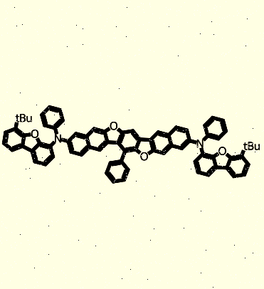 CC(C)(C)c1cccc2c1oc1c(N(c3ccccc3)c3ccc4cc5c(cc4c3)oc3c(-c4ccccc4)c4c(cc35)oc3cc5cc(N(c6ccccc6)c6cccc7c6oc6c(C(C)(C)C)cccc67)ccc5cc34)cccc12